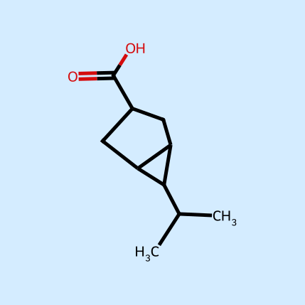 CC(C)C1C2CC(C(=O)O)CC21